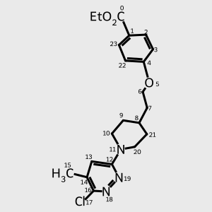 CCOC(=O)c1ccc(OCCC2CCN(c3cc(C)c(Cl)nn3)CC2)cc1